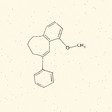 COc1cccc2c1C=C(c1ccccc1)CCC2